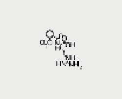 CC(=O)Oc1ccccc1C(=O)NC(CCCNC(=N)N)C(=O)O